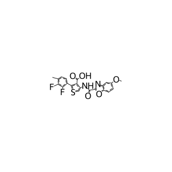 COc1ccc2oc(C(=O)Nc3csc(-c4ccc(C)c(F)c4F)c3C(=O)O)nc2c1